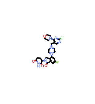 O=C1CCC(N2Cc3c(cc(F)cc3N3CCN(Cc4cnc(Cl)nc4N4CCOCC4)CC3)C2=O)C(=O)N1